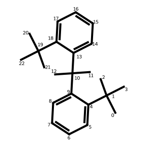 CC(C)(C)c1ccccc1C(C)(C)c1ccccc1C(C)(C)C